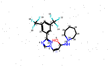 OC(/C=C\n1cnc(-c2cc(C(F)(F)F)cc(C(F)(F)F)c2)n1)NN1CCCCCC1